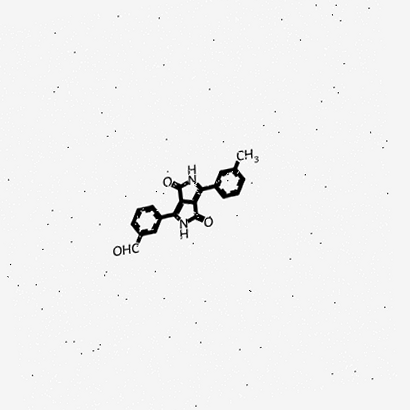 Cc1cccc(C2=C3C(=O)NC(c4cccc(C=O)c4)=C3C(=O)N2)c1